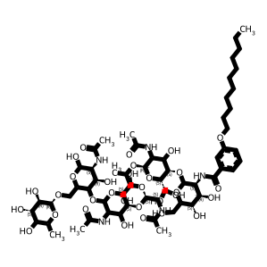 CCCCCCCCCCCOc1cccc(C(=O)N[C@@H]2C(O[C@H]3C(O)C(NC(C)=O)[C@H](OC(C)C(CO)O[C@@H](O[C@H]4C(O)C(NC(C)=O)C(OC5C(CO[C@@H]6OC(C)C(O)[C@H](O)[C@H]6O)OC(O)[C@@H](NC(C)=O)[C@H]5O)O[C@H]4CO)[C@H](CO)NC(C)=O)O[C@H]3CO)OC(CO)[C@@H](O)[C@@H]2O)c1